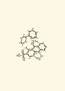 COc1c2ccccc2c(OC)c2c(I)c(S(=O)(=O)O)ccc12.c1ccc(-c2ccccc2)cc1